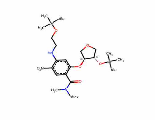 CCCCCCN(C)C(=O)c1cc([N+](=O)[O-])c(NCCO[Si](C)(C)C(C)(C)C)cc1O[C@H]1COC[C@@H]1O[Si](C)(C)C(C)(C)C